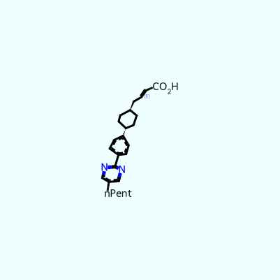 CCCCCc1cnc(-c2ccc([C@H]3CC[C@H](C/C=C/C(=O)O)CC3)cc2)nc1